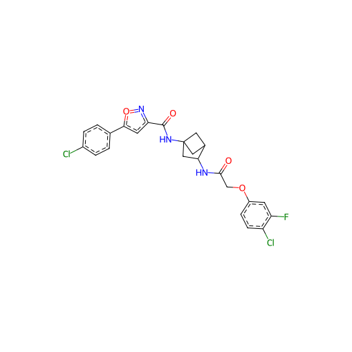 O=C(COc1ccc(Cl)c(F)c1)NC1CC2(NC(=O)c3cc(-c4ccc(Cl)cc4)on3)CC1C2